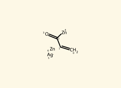 C=C[C](=O)[Zn].[Ag].[Zn]